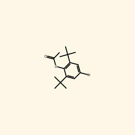 CC(=O)Oc1c(C(C)(C)C)cc(Br)cc1C(C)(C)C